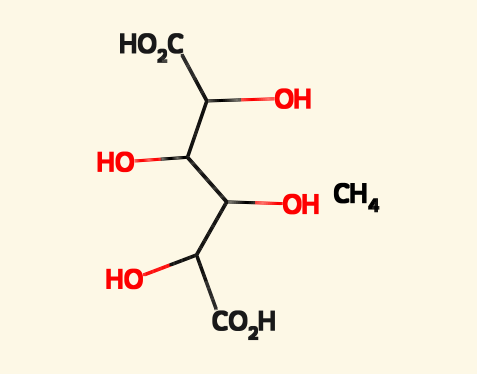 C.O=C(O)C(O)C(O)C(O)C(O)C(=O)O